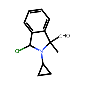 CC1(C=O)c2ccccc2C(Cl)N1C1CC1